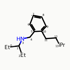 CCC(CC)NCc1c[c]ccc1CCC(C)C